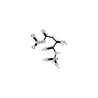 C=C(CC(=O)O[SH](=O)=O)C(=O)O[SH](=O)=O